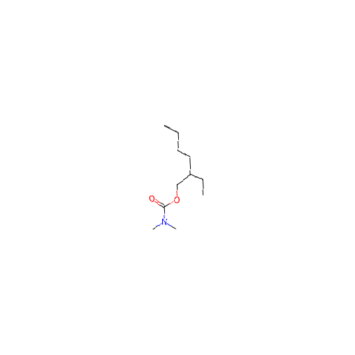 CCCCC(CC)COC(=O)N(C)C